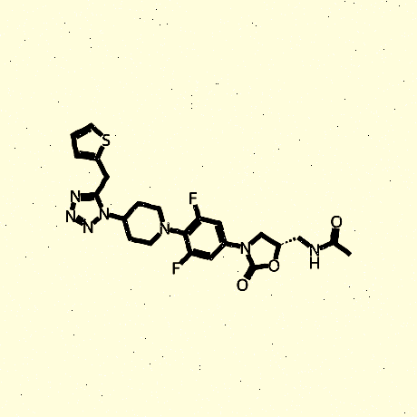 CC(=O)NC[C@H]1CN(c2cc(F)c(N3CCC(n4nnnc4Cc4cccs4)CC3)c(F)c2)C(=O)O1